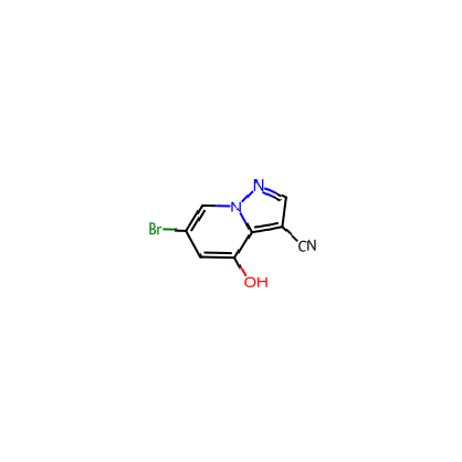 N#Cc1cnn2cc(Br)cc(O)c12